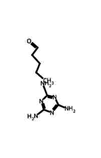 CCCCC=O.Nc1nc(N)nc(N)n1